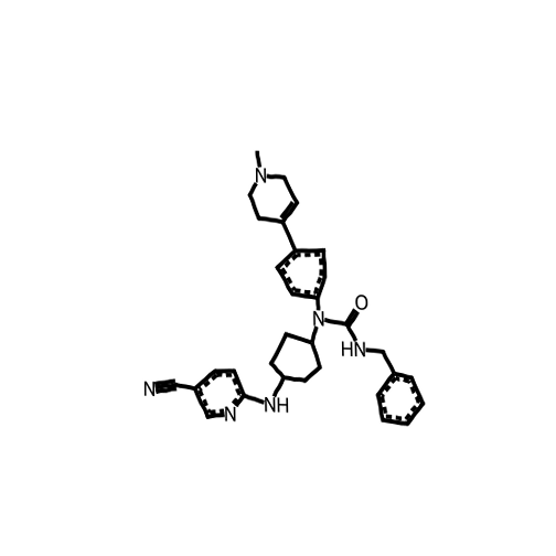 CN1CC=C(c2ccc(N(C(=O)NCc3ccccc3)C3CCC(Nc4ccc(C#N)cn4)CC3)cc2)CC1